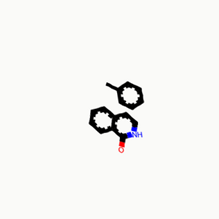 Cc1ccccc1.O=c1[nH]ccc2ccccc12